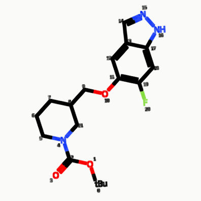 CC(C)(C)OC(=O)N1CCCC(COc2cc3cn[nH]c3cc2F)C1